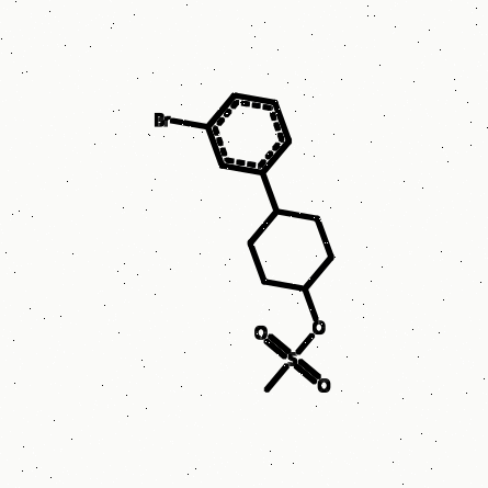 CS(=O)(=O)OC1CCC(c2cccc(Br)c2)CC1